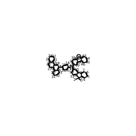 CC1(C)c2ccccc2-c2cc(N(c3ccc(-c4cc5c6ccccc6ccc5c5ccccc45)cc3)c3ccc4oc5ccccc5c4c3)ccc21